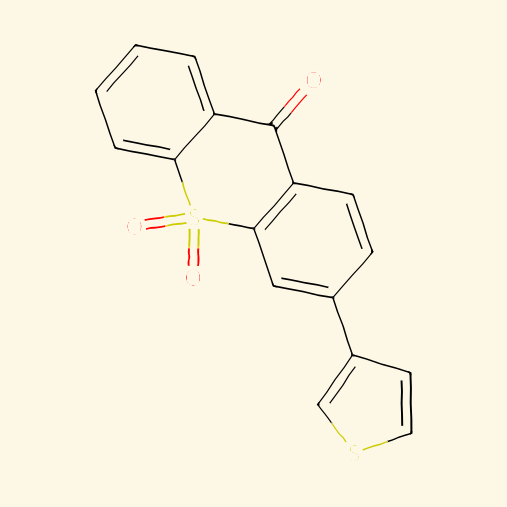 O=C1c2ccccc2S(=O)(=O)c2cc(-c3ccsc3)ccc21